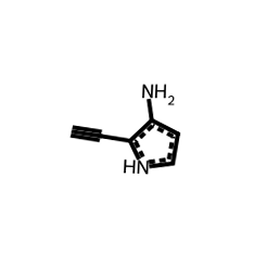 C#Cc1[nH]ccc1N